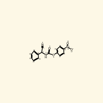 N#CC(NC(=O)Oc1ccc([N+](=O)[O-])cc1)c1ccccc1